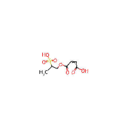 CC(COC(=O)/C=C\C(=O)O)S(=O)(=O)O